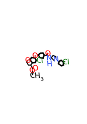 CCOC(=O)C1CCOc2cc(Oc3ccc(C(=O)NC4CCN(c5cccc(Cl)c5)C4)cc3)c(Cl)cc21